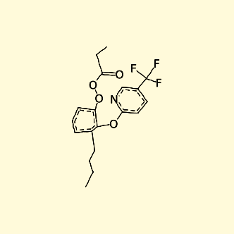 CCCCc1cccc(OOC(=O)CC)c1Oc1ccc(C(F)(F)F)cn1